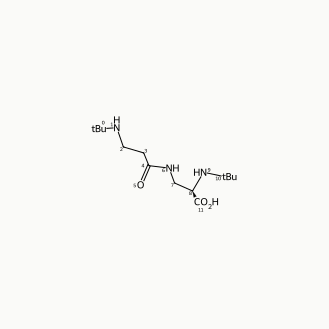 CC(C)(C)NCCC(=O)NC[C@@H](NC(C)(C)C)C(=O)O